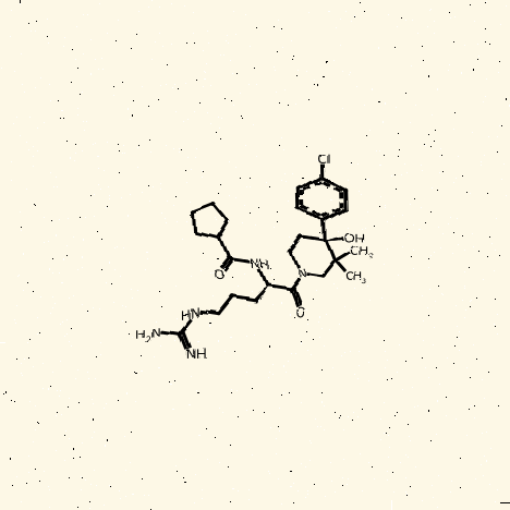 CC1(C)CN(C(=O)[C@@H](CCCNC(=N)N)NC(=O)C2CCCC2)CC[C@]1(O)c1ccc(Cl)cc1